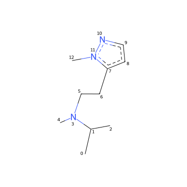 CC(C)N(C)CCc1ccnn1C